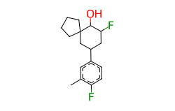 Cc1cc(C2CC(F)C(O)C3(CCCC3)C2)ccc1F